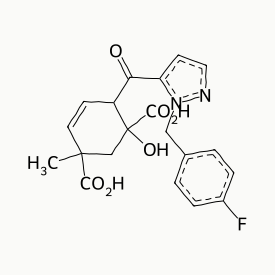 CC1(C(=O)O)C=CC(C(=O)c2ccnn2Cc2ccc(F)cc2)C(O)(C(=O)O)C1